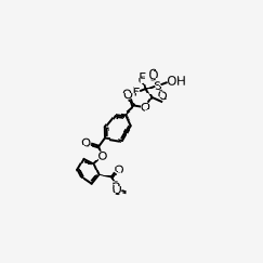 COC(=O)c1ccccc1OC(=O)c1ccc(C(=O)OC(C)C(F)(F)S(=O)(=O)O)cc1